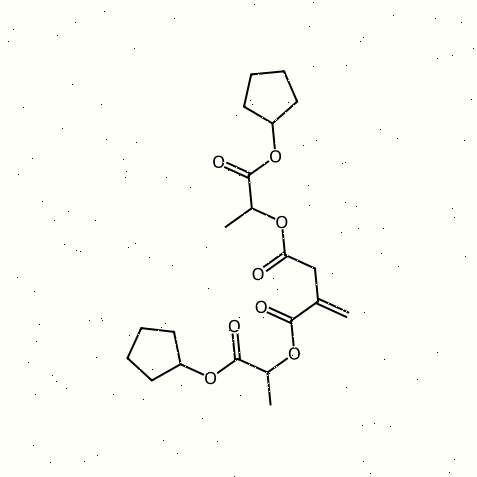 C=C(CC(=O)OC(C)C(=O)OC1CCCC1)C(=O)OC(C)C(=O)OC1CCCC1